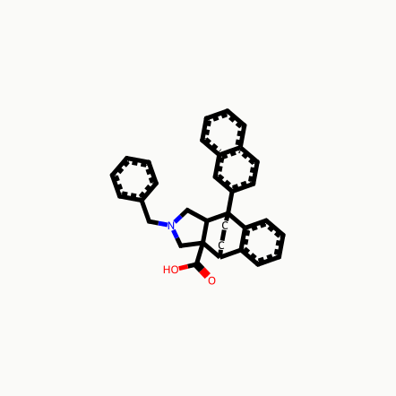 O=C(O)C12CN(Cc3ccccc3)CC1C1(c3ccc4ccccc4c3)CCC2c2ccccc21